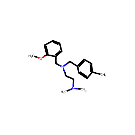 COc1ccccc1CN(CCN(C)C)Cc1ccc(C)cc1